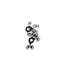 O=C(O)N1[C@H]2CC[C@@H]1[C@@H](NS(=O)(=O)c1ccc([N+](=O)[O-])cc1[N+](=O)[O-])C2